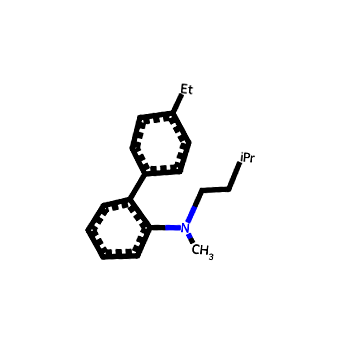 CCc1ccc(-c2ccccc2N(C)CCC(C)C)cc1